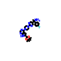 CC(N)(c1ccc(F)cc1)c1cnc(N2CCN(c3ncnc4[nH]c(B5OC(C)(C)C(C)(C)O5)cc34)CC2)nc1